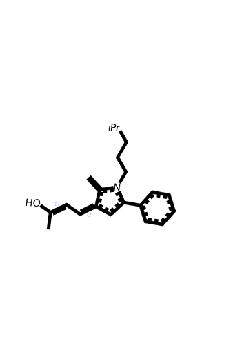 C=c1/c(=C\C=C(/C)O)cc(-c2ccccc2)n1CCCC(C)C